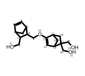 OCC1C2C=CC(C2)C1COC1=CC2CC1CC2(CO)CO